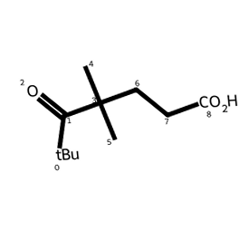 CC(C)(C)C(=O)C(C)(C)CCC(=O)O